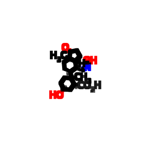 C[C@]1([C@H]2CC[C@]3(C)C(=O)CC[C@H]3[C@@H]2/C=N\O)CC[C@H](O)C[C@@H]1C(=O)O